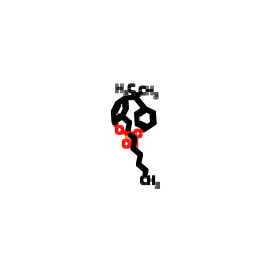 CCCCCCCCc1cc2ccc1OP(O)Oc1ccc(cc1)C2(C)C